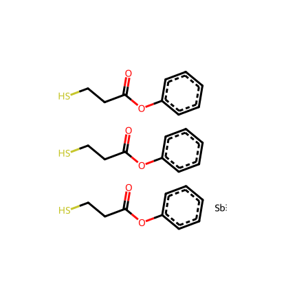 O=C(CCS)Oc1ccccc1.O=C(CCS)Oc1ccccc1.O=C(CCS)Oc1ccccc1.[Sb]